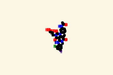 CC(=O)Nc1cccc(-n2c(=O)n(C[C@@H](O)CO)c(=O)c3c(Nc4ccc(I)cc4F)n(C)c(=O)c(C)c32)c1